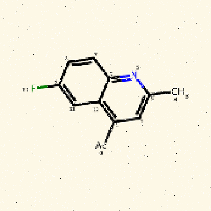 CC(=O)c1cc(C)nc2ccc(F)cc12